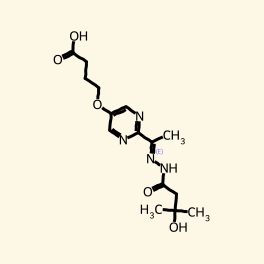 C/C(=N\NC(=O)CC(C)(C)O)c1ncc(OCCCC(=O)O)cn1